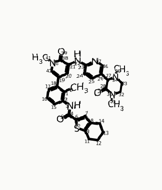 Cc1c(NC(=O)c2cc3c(s2)CCCC3)cccc1-c1cc(Nc2ccc(C3C(=O)N(C)CCN3C)cn2)c(=O)n(C)c1